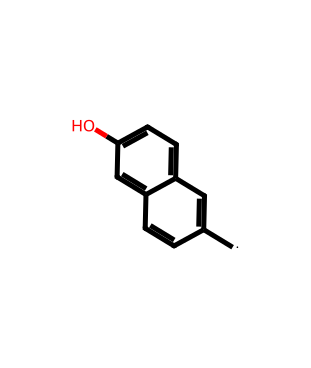 [CH2]c1ccc2cc(O)ccc2c1